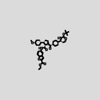 CCOC(=O)c1cc2cc(NC(=O)[C@@H]3[C@H]([C@H]4CC[C@@H](OC)CC4)CCN3C(=O)[C@H]3CC[C@H]([C@@H](CF)NC(=O)OC(C)(C)C)CC3)ccc2o1